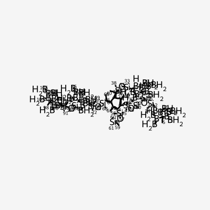 BBB(B)C(C)(B(B)B)B(B)BC[Si](C)(C)O[Si](C)(C)C(B(B)B)(B(B)BB)B(B)BC[Si](C)(C)O[Si](C)(C)C(C)=c1c(C)c([Si](C)(C)O[Si](C)(C)C)c([Si](C)(C)O[Si](C)(C)C)c(C)c1=C(C)[Si](C)(C)O[Si](C)(C)CBB(B)C(B(B)B)(B(B)BB)[Si](C)(C)O[Si](C)(C)CBB(B)C(C)(B(B)B)B(B)BB